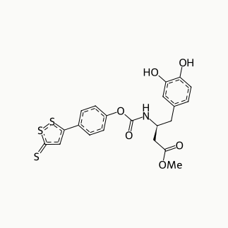 COC(=O)C[C@H](Cc1ccc(O)c(O)c1)NC(=O)Oc1ccc(-c2cc(=S)ss2)cc1